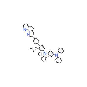 Cc1c(-c2ccc(-c3cnc4c(ccc5cccnc54)c3)cc2)ccc(-n2c3ccccc3c3cc(N(c4ccccc4)c4ccccc4)ccc32)c1C